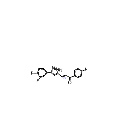 O=C(/C=C/c1cc(-c2ccc(F)c(F)c2)n[nH]1)c1ccc(F)cc1